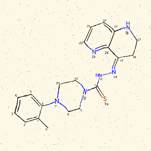 Cc1ccccc1N1CCN(C(=S)N/N=C2/CCNc3cccnc32)CC1